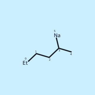 CCCC[CH](C)[Na]